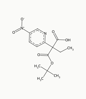 CCC(C(=O)O)(C(=O)OC(C)(C)C)c1ccc([N+](=O)[O-])cn1